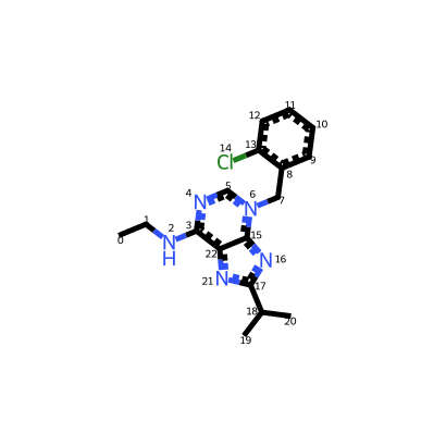 CCNc1ncn(Cc2ccccc2Cl)c2nc(C(C)C)nc1-2